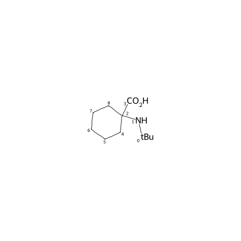 CC(C)(C)NC1(C(=O)O)CCCCC1